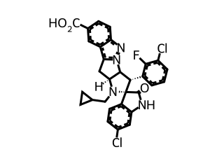 O=C(O)c1ccc2nn3c(c2c1)C[C@H]1C3[C@H](c2cccc(Cl)c2F)[C@]2(C(=O)Nc3cc(Cl)ccc32)N1CC1CC1